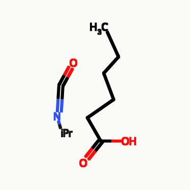 CC(C)N=C=O.CCCCCC(=O)O